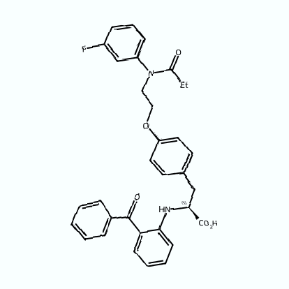 CCC(=O)N(CCOc1ccc(C[C@H](Nc2ccccc2C(=O)c2ccccc2)C(=O)O)cc1)c1cccc(F)c1